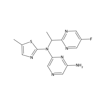 Cc1cnc(N(c2cncc(N)n2)C(C)c2ncc(F)cn2)s1